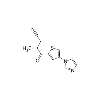 CC(CC#N)C(=O)c1cc(-n2ccnc2)cs1